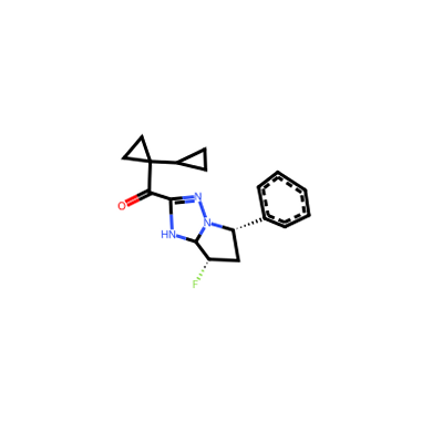 O=C(C1=NN2C(N1)[C@@H](F)C[C@H]2c1ccccc1)C1(C2CC2)CC1